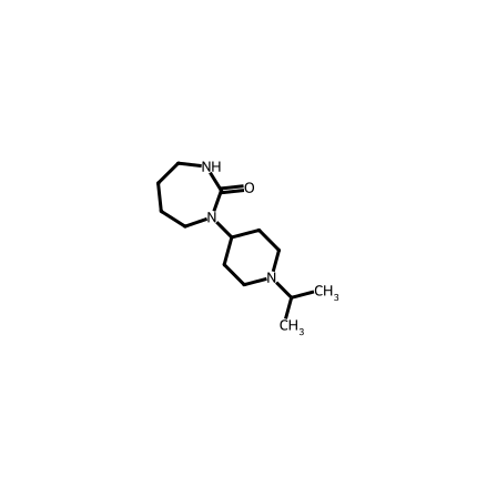 CC(C)N1CCC(N2CCCCNC2=O)CC1